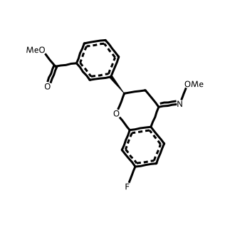 CON=C1C[C@H](c2cccc(C(=O)OC)c2)Oc2cc(F)ccc21